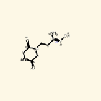 N/C(CCN1CC(=O)NCC1=O)=N\O